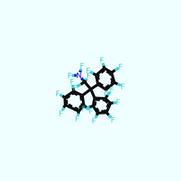 Fc1c(F)c(F)c(C(c2c(F)c(F)c(F)c(F)c2F)(c2c(F)c(F)c(F)c(F)c2F)C(F)(F)N(F)F)c(F)c1F